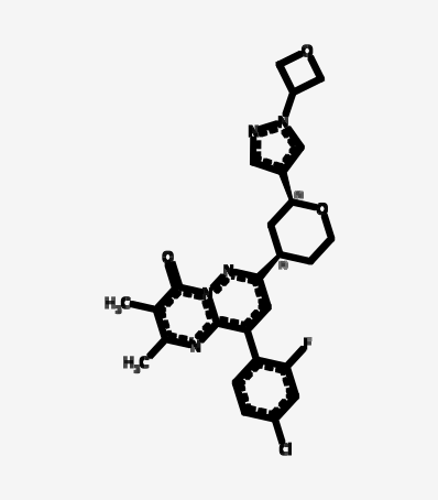 Cc1nc2c(-c3ccc(Cl)cc3F)cc([C@@H]3CCO[C@H](c4cnn(C5COC5)c4)C3)nn2c(=O)c1C